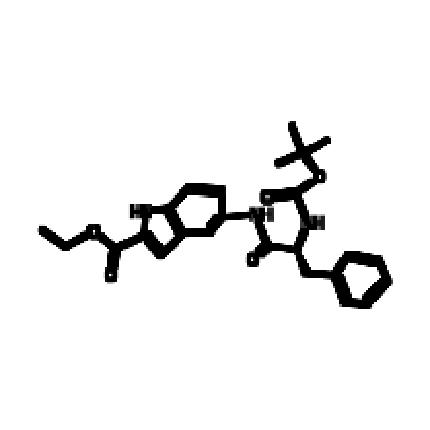 CCOC(=O)c1cc2cc(NC(=O)[C@H](Cc3ccccc3)NC(=O)OC(C)(C)C)ccc2[nH]1